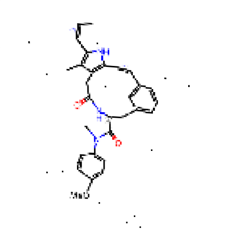 C/C=C\c1[nH]c2c(c1C)CC(=O)N[C@H](C(=O)N(C)c1ccc(OC)cc1)Cc1cccc(c1)/C=C\2